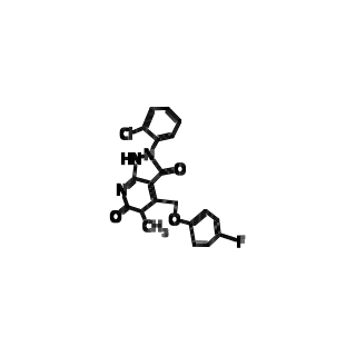 CC1C(=O)N=c2[nH]n(-c3ccccc3Cl)c(=O)c2=C1COc1ccc(F)cc1